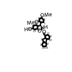 COc1ccc(C(NC(=O)OCc2cccc3c2Cc2ccccc2-3)c2ccc(O)cc2)c(OC)c1